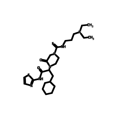 CCN(CC)CCCNC(=S)N1CCN(C(CC2CCCCC2)C(=O)Nc2nccs2)C(=O)C1